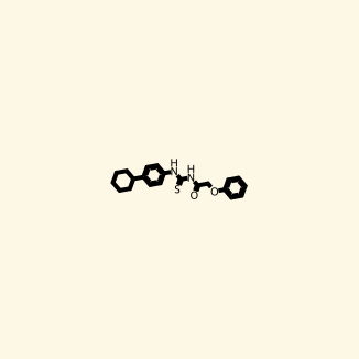 O=C(COc1ccccc1)NC(=S)Nc1ccc(C2CCCCC2)cc1